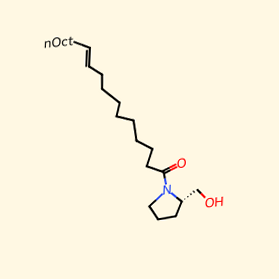 CCCCCCCCC=CCCCCCCCCC(=O)N1CCC[C@H]1CO